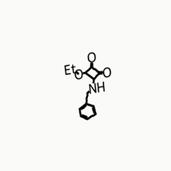 CCOC1C(=O)C(=O)C1NCc1ccccc1